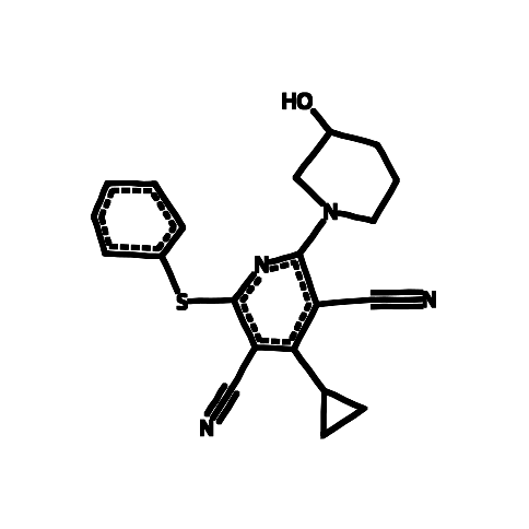 N#Cc1c(Sc2ccccc2)nc(N2CCCC(O)C2)c(C#N)c1C1CC1